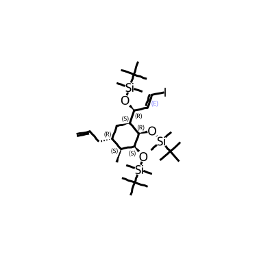 C=CC[C@@H]1C[C@@H]([C@H](/C=C/I)O[Si](C)(C)C(C)(C)C)[C@@H](O[Si](C)(C)C(C)(C)C)[C@@H](O[Si](C)(C)C(C)(C)C)[C@H]1C